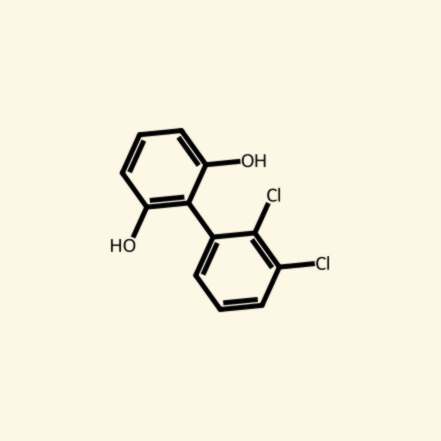 Oc1cccc(O)c1-c1cccc(Cl)c1Cl